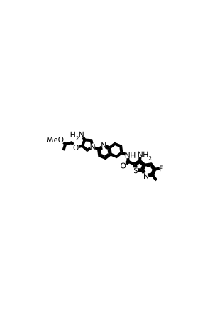 COC(C)COC1CN(c2ccc3c(n2)CCC(NC(=O)c2sc4nc(C)c(F)cc4c2N)C3)CC1N